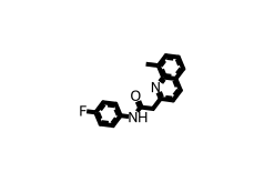 Cc1cccc2ccc(CC(=O)Nc3ccc(F)cc3)nc12